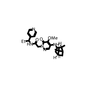 CCC(NC(=O)Cn1ncc(NC2C[C@@H]3CC([C@H]2C)C3(C)C)c(OC)c1=O)c1ccncc1